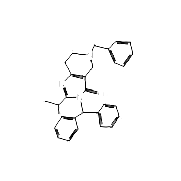 CC(C)c1nc2c(c(=O)n1C(c1ccccc1)c1ccccc1)CN(Cc1ccccc1)CC2